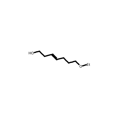 CCOCCCC=CCCO